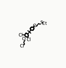 CCSCCCOc1ccc(C(C)(C)c2cc(Cl)c(OCCCCl)c(Cl)c2)cc1